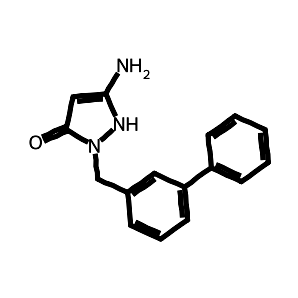 Nc1cc(=O)n(Cc2cccc(-c3ccccc3)c2)[nH]1